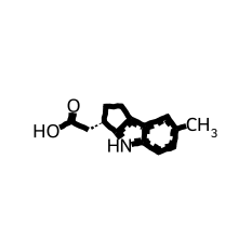 Cc1ccc2[nH]c3c(c2c1)CC[C@H]3CC(=O)O